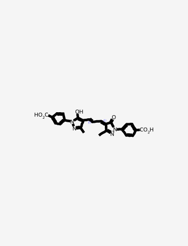 CC1=NN(c2ccc(C(=O)O)cc2)C(=O)/C1=C/C=C/c1c(C)nn(-c2ccc(C(=O)O)cc2)c1O